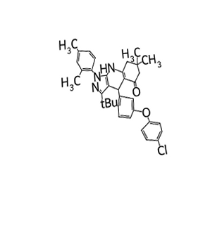 Cc1ccc(-n2nc(C(C)(C)C)c3c2NC2=C(C(=O)CC(C)(C)C2)C3c2cccc(Oc3ccc(Cl)cc3)c2)c(C)c1